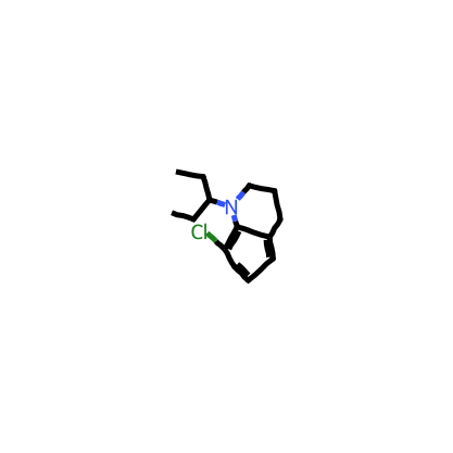 CCC(CC)N1CCCc2cccc(Cl)c21